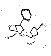 CC(C)(C)C1CC[C@](CN)(CC(=O)O)C1.NC[C@]1(CC(=O)O)CCC(c2ccccc2)C1